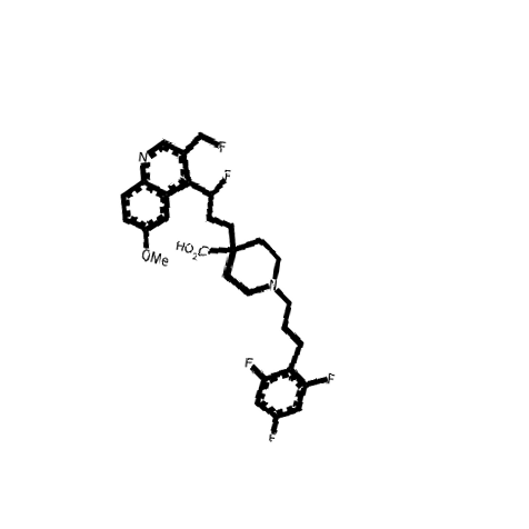 COc1ccc2ncc(CF)c(C(F)CCC3(C(=O)O)CCN(CCCc4c(F)cc(F)cc4F)CC3)c2c1